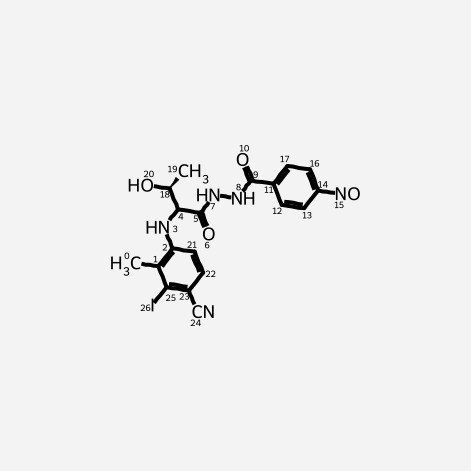 Cc1c(NC(C(=O)NNC(=O)c2ccc(N=O)cc2)[C@H](C)O)ccc(C#N)c1I